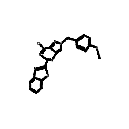 COc1ccc(Cn2cc3nc(-c4nc5ccccc5o4)nc(Cl)c3n2)cc1